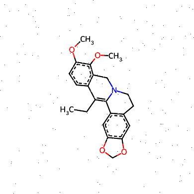 CCC1=C2c3cc4c(cc3CCN2Cc2c1ccc(OC)c2OC)OCO4